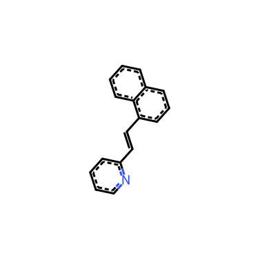 C(=Cc1cccc2ccccc12)c1ccccn1